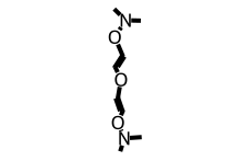 CN(C)OC=COC=CON(C)C